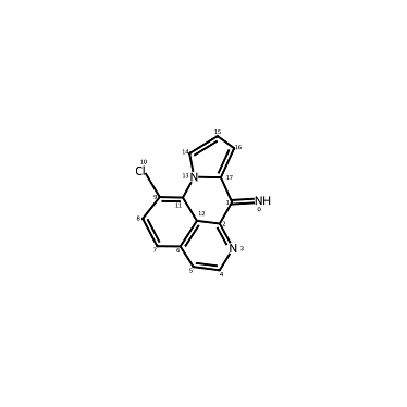 N=c1c2nccc3ccc(Cl)c(c32)n2cccc12